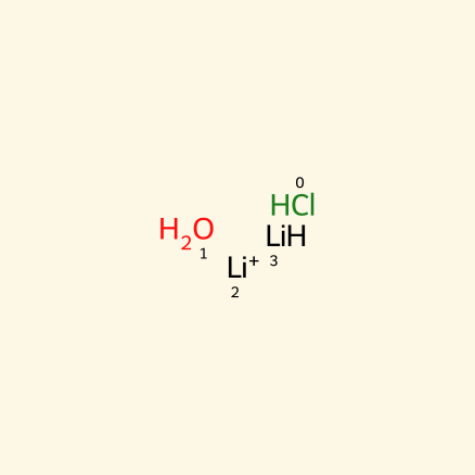 Cl.O.[Li+].[LiH]